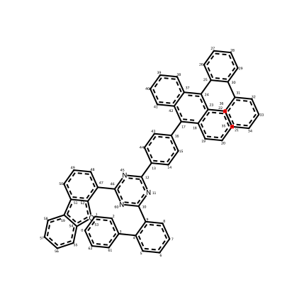 c1ccc(-c2ccccc2-c2nc(-c3ccc(-c4c5ccccc5c(-c5ccccc5-c5ccccc5)c5ccccc45)cc3)nc(-c3cccc4c3oc3ccccc34)n2)cc1